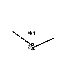 CCCCCCCCCCCCCCCCCCC1=[C]([Zr][C]2=C(CCCCCCCCCCCCCCCCCC)C=CC2)CC=C1.Cl.Cl